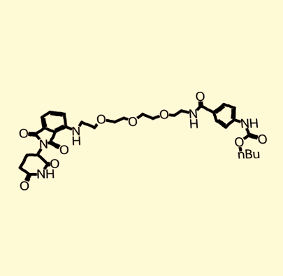 CCCCOC(=O)Nc1ccc(C(=O)NCCOCCOCCOCCNc2cccc3c2C(=O)N(C2CCC(=O)NC2=O)C3=O)cc1